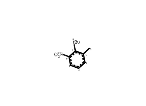 Cc1cccc([N+](=O)[O-])c1C(C)(C)C